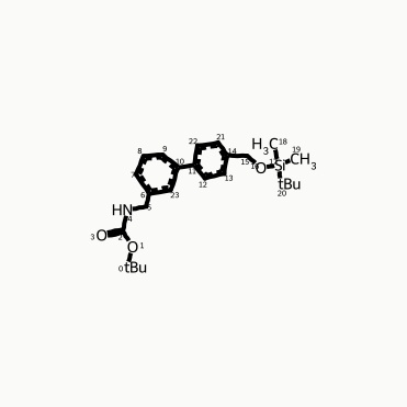 CC(C)(C)OC(=O)NCc1cccc(-c2ccc(CO[Si](C)(C)C(C)(C)C)cc2)c1